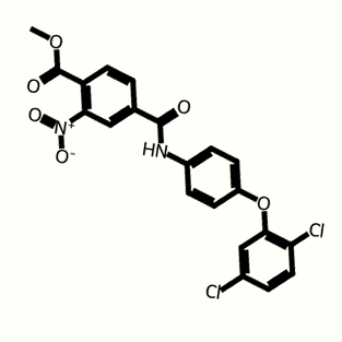 COC(=O)c1ccc(C(=O)Nc2ccc(Oc3cc(Cl)ccc3Cl)cc2)cc1[N+](=O)[O-]